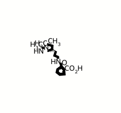 CC(=N)N1C[C@@H](CCCNC(=O)c2ccccc2C(=O)O)CC1(C)C